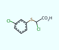 O=C(O)C(Cl)Sc1cccc(Cl)c1